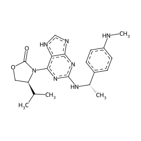 CNc1ccc([C@H](C)Nc2nc(N3C(=O)OC[C@@H]3C(C)C)c3[nH]cnc3n2)cc1